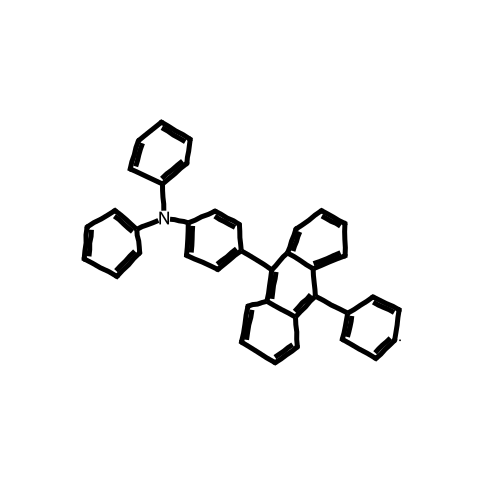 [c]1ccc(-c2c3ccccc3c(-c3ccc(N(c4ccccc4)c4ccccc4)cc3)c3ccccc23)cc1